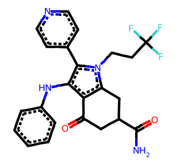 NC(=O)C1CC(=O)c2c(Nc3ccccc3)c(-c3ccncc3)n(CCC(F)(F)F)c2C1